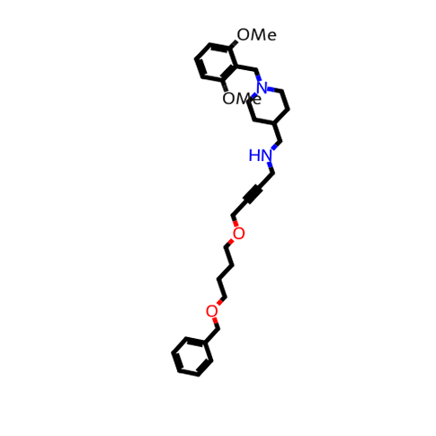 COc1cccc(OC)c1CN1CCC(CNCC#CCOCCCCOCc2ccccc2)CC1